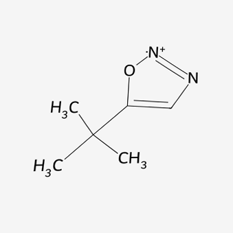 CC(C)(C)C1=CN=[N+]O1